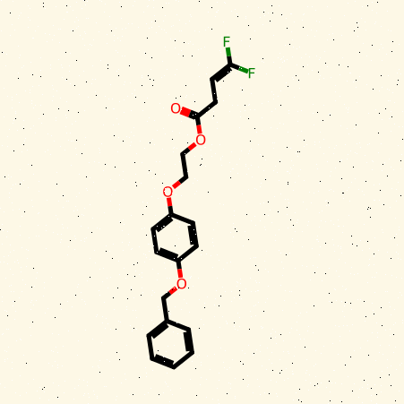 O=C(CC=C(F)F)OCCOc1ccc(OCc2ccccc2)cc1